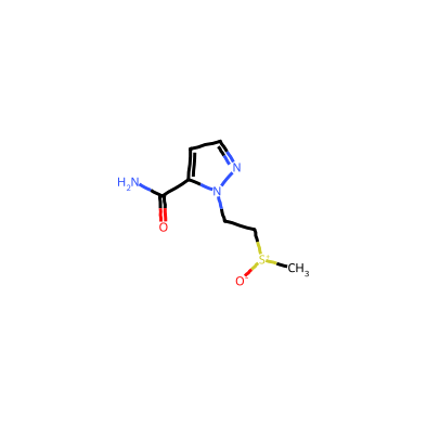 C[S+]([O-])CCn1nccc1C(N)=O